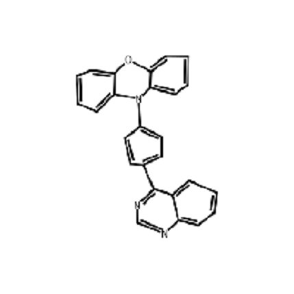 c1ccc2c(c1)Oc1ccccc1N2c1ccc(-c2ncnc3ccccc23)cc1